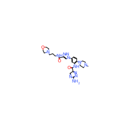 CN1CCN(c2ccc(-n3cc(C(=O)NCCCN4CCOCC4)nn3)cc2NC(=O)c2cnc(N)nn2)CC1